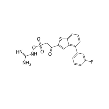 N=C(N)NOS(=O)(=O)CC(=O)c1cc2c(-c3cccc(F)c3)cccc2s1